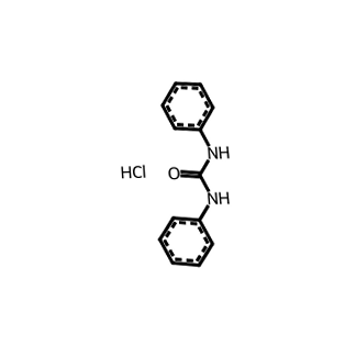 Cl.O=C(Nc1ccccc1)Nc1ccccc1